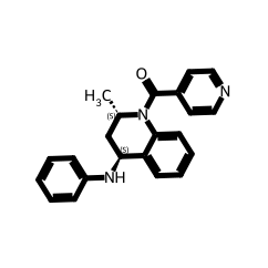 C[C@H]1C[C@H](Nc2ccccc2)c2ccccc2N1C(=O)c1ccncc1